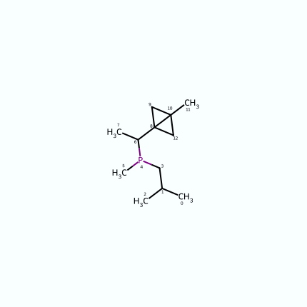 CC(C)CP(C)C(C)C12CC1(C)C2